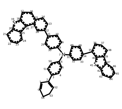 C1=CC(c2ccc(N(c3ccc(-c4ccc5ccc6sc7ccccc7c6c5c4)cc3)c3ccc(-c4cccc5c4sc4ccccc45)cc3)cc2)=CCC1